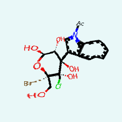 CC(=O)n1cc([C@@]2(O)[C@@H](O)[C@H](O)O[C@](Br)(CO)[C@]2(O)Cl)c2ccccc21